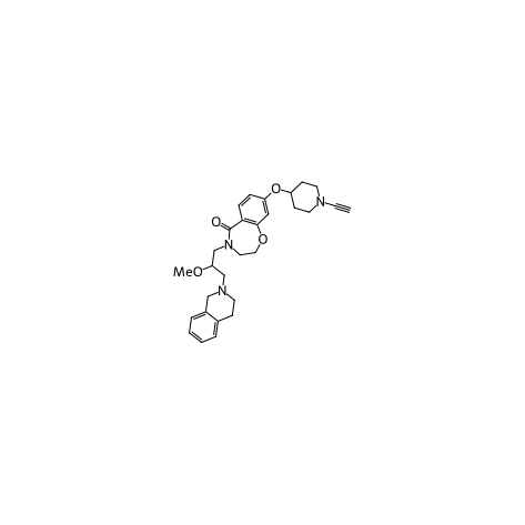 C#CN1CCC(Oc2ccc3c(c2)OCCN(CC(CN2CCc4ccccc4C2)OC)C3=O)CC1